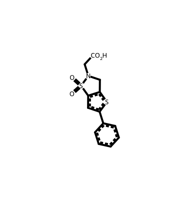 O=C(O)CN1Cc2sc(-c3ccccc3)cc2S1(=O)=O